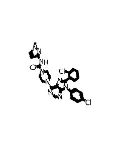 Cn1ccc(NC(=O)N2CCN(c3ncnc4c3nc(-c3ccccc3Cl)n4-c3ccc(Cl)cc3)CC2)n1